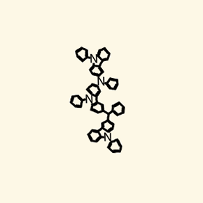 c1ccc(C(c2ccc3c(c2)c2ccccc2n3-c2ccccc2)c2ccc3c(c2)c2cc(N(c4ccccc4)c4ccc5c(c4)c4ccccc4n5-c4ccccc4)ccc2n3-c2ccccc2)cc1